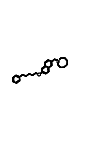 c1ccc(CCCCCOc2ccc3cc(CN4CCCCCCC4)ccc3c2)cc1